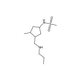 CCCNCC1CC(NS(C)(=O)=O)CC1C